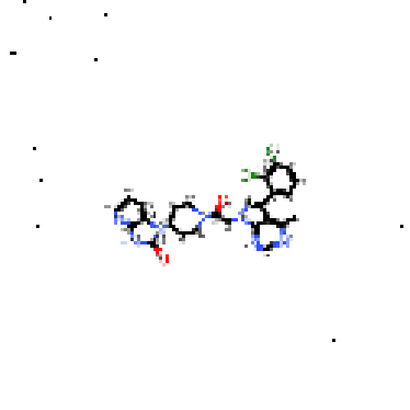 Cc1ncnc2c1c(-c1cccc(Cl)c1Cl)cn2CC(=O)N1CCC(n2c(=O)[nH]c3ncccc32)CC1